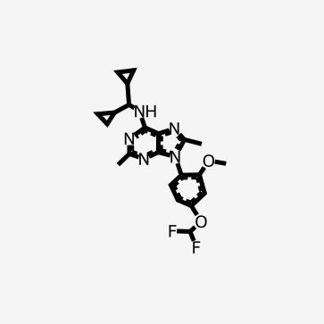 COc1cc(OC(F)F)ccc1-n1c(C)nc2c(NC(C3CC3)C3CC3)nc(C)nc21